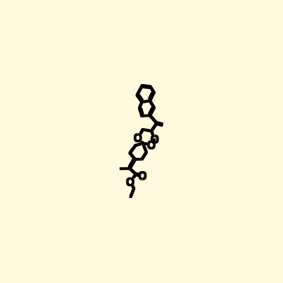 C=C(c1ccc2ccccc2c1)C1COC2(CCC(=C(C)C(=O)OCC)CC2)OO1